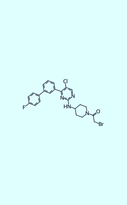 O=C(CBr)N1CCC(Nc2ncc(Cl)c(-c3cccc(-c4ccc(F)cc4)c3)n2)CC1